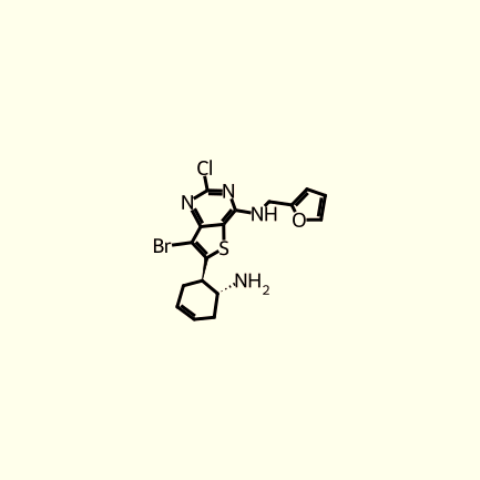 N[C@@H]1CC=CC[C@H]1c1sc2c(NCc3ccco3)nc(Cl)nc2c1Br